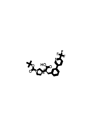 CC(C)(C)OC(=O)N1CC[C@H]([C@H](Cc2cccc(-c3ccc(C(F)(F)F)nc3)c2)C(=O)O)C1